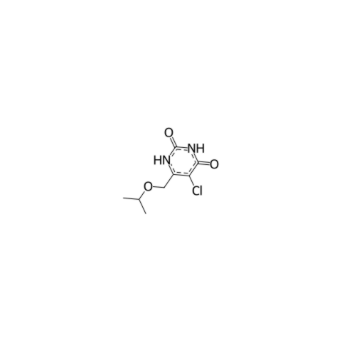 CC(C)OCc1[nH]c(=O)[nH]c(=O)c1Cl